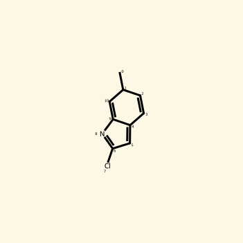 CC1C=CC2=CC(Cl)=NC2=C1